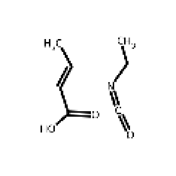 CC=CC(=O)O.CCN=C=O